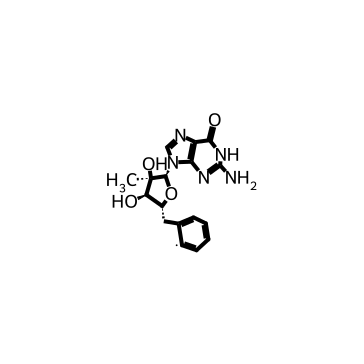 C[C@@]1(O)[C@H](O)[C@@H](Cc2[c]cccc2)O[C@H]1n1cnc2c(=O)[nH]c(N)nc21